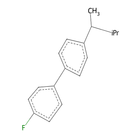 CC(C)C(C)c1ccc(-c2ccc(F)cc2)cc1